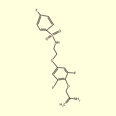 C=C(N)COc1c(F)cc(SCCNS(=O)(=O)c2ccc(F)cc2)cc1F